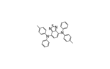 Cc1ccc(N(c2ccccc2)c2ccc(N(c3ccccc3)c3ccc(C)cc3)c3nsnc23)cc1